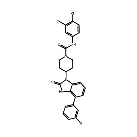 O=C(Nc1ccc(Cl)c(Cl)c1)N1CCC(n2c(=O)[nH]c3c(-c4cccc(F)c4)cccc32)CC1